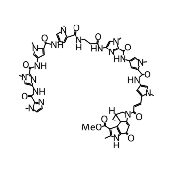 COC(=O)c1c(C)[nH]c2c1[C@@]13C[C@@H]1CN(C(=O)/C=C/c1cc(NC(=O)c4cc(NC(=O)c5nc(NC(=O)CCNC(=O)c6cc(NC(=O)c7cc(NC(=O)c8nc(NC(=O)c9nccn9C)cn8C)cn7C)cn6C)cn5C)cn4C)cn1C)C3=CC2=O